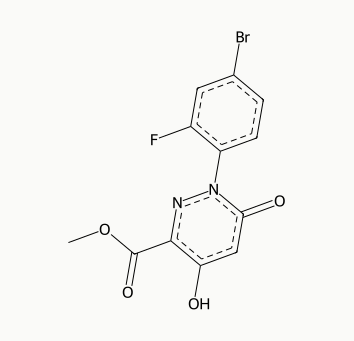 COC(=O)c1nn(-c2ccc(Br)cc2F)c(=O)cc1O